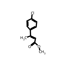 COC(=O)C=C(C)c1ccc(Cl)cc1